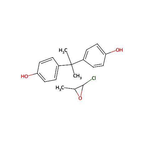 CC(C)(c1ccc(O)cc1)c1ccc(O)cc1.CC1OC1Cl